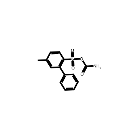 Cc1ccc(S(=O)(=O)OC(N)=O)c(-c2ccccc2)c1